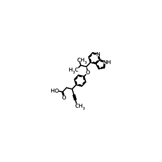 CC#CC(CC(=O)O)c1ccc(O[C@H](c2ccnc3[nH]ccc23)C(C)C)cc1